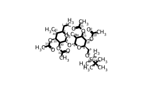 CCC1O[C@H](O[C@H]2O[C@H](CO[Si](C)(C)C(C)(C)C)[C@@H](OC(C)=O)C(OC(C)=O)C2C)C(OC(C)=O)[C@@H](OC(C)=O)[C@@H]1C